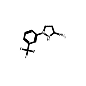 NC1CCN(c2cccc(C(F)(F)F)c2)N1